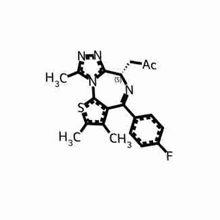 CC(=O)C[C@@H]1N=C(c2ccc(F)cc2)c2c(sc(C)c2C)-n2c(C)nnc21